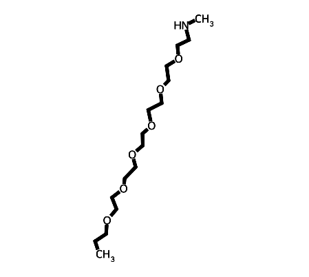 CCCOCCOCCOCCOCCOCCOCCNC